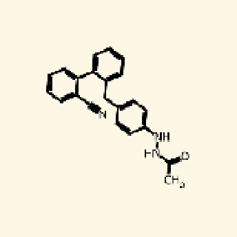 CC(=O)NNc1ccc(Cc2ccccc2-c2ccccc2C#N)cc1